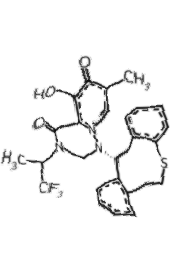 Cc1cn2c(c(O)c1=O)C(=O)N(C(C)C(F)(F)F)CN2[C@H]1c2ccccc2CSc2ccccc21